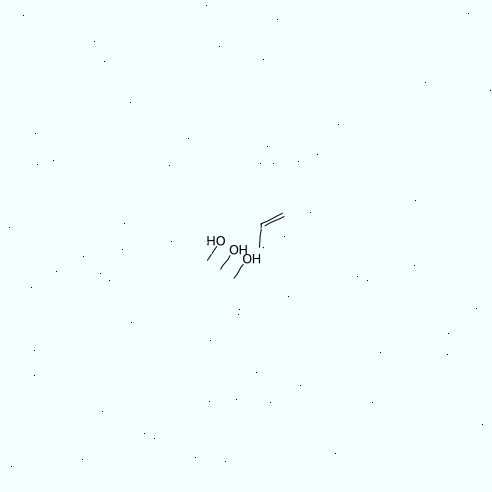 CO.CO.CO.[CH2]C=C